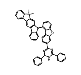 CC1(C)c2ccccc2-c2cc3c4ccccc4n(-c4cccc5oc6cc(C7=NC(c8ccccc8)NC(c8ccccc8)=N7)ccc6c45)c3cc21